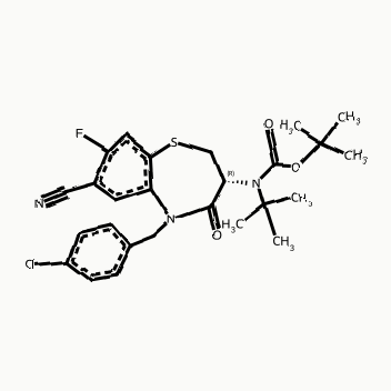 CC(C)(C)OC(=O)N([C@H]1CSc2cc(F)c(C#N)cc2N(Cc2ccc(Cl)cc2)C1=O)C(C)(C)C